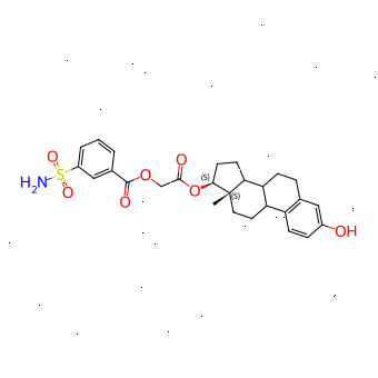 C[C@]12CCC3c4ccc(O)cc4CCC3C1CC[C@@H]2OC(=O)COC(=O)c1cccc(S(N)(=O)=O)c1